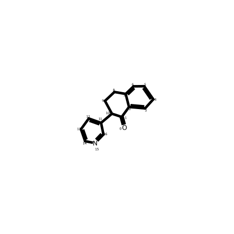 O=C1c2ccccc2CCC1c1cccnc1